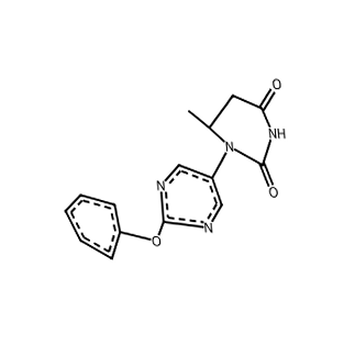 CC1CC(=O)NC(=O)N1c1cnc(Oc2ccccc2)nc1